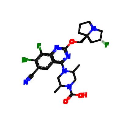 CC1CN(c2nc(OC[C@@]34CCCN3C[C@H](F)C4)nc3c(F)c(Br)c(C#N)cc23)C(C)CN1C(=O)O